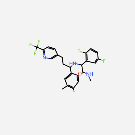 CNC(=O)C(NC(CCc1ccc(C(F)(F)F)nc1)c1ccc(F)c(C)c1)c1cc(F)ccc1F